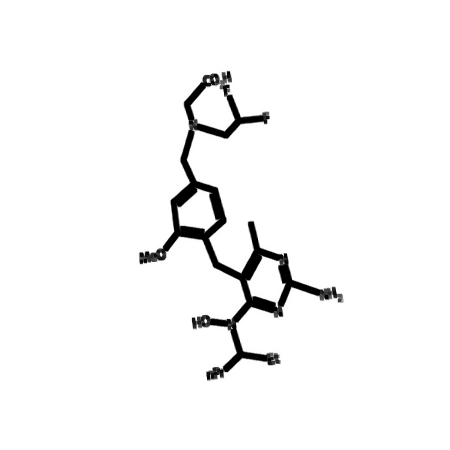 CCCC(CC)N(O)c1nc(N)nc(C)c1Cc1ccc(CN(CC(=O)O)CC(F)F)cc1OC